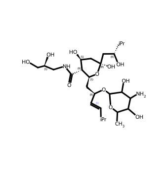 CC(C)/C=C/[C@@H](C[C@@H]1O[C@](O)(C[C@@H](O)C(C)C)C[C@H](O)[C@H]1C(=O)NC[C@H](O)CO)OC1OC(C)C(O)C(N)C1O